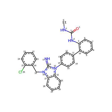 CCNC(=O)Nc1ccccc1-c1ccc(-n2c(=N)n(Cc3ccccc3Cl)c3ccccc32)cc1